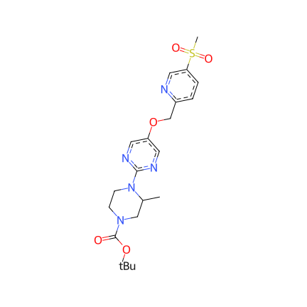 CC1CN(C(=O)OC(C)(C)C)CCN1c1ncc(OCc2ccc(S(C)(=O)=O)cn2)cn1